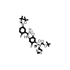 CC(C)(C)OC(=O)N(c1cscn1)S(=O)(=O)c1cc(Cl)c(N[C@@H](N)c2cc(B3OC(C)(C)C(C)(C)O3)ccc2F)cc1F